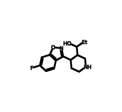 CCC(O)C1CNCCC1c1noc2cc(F)ccc12